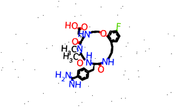 C[C@@H]1C(=O)N[C@H](Cc2ccc(C(=N)N)cc2)C(=O)NCCCc2ccc(F)cc2OCCN[C@@H](CC(=O)O)C(=O)N1C